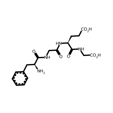 N[C@@H](Cc1ccccc1)C(=O)NCC(=O)N[C@@H](CCC(=O)O)C(=O)NCC(=O)O